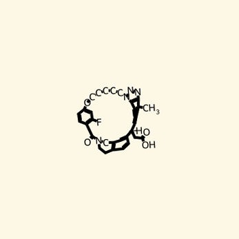 Cc1c2ccc3c1nnn3CCCCCOc1ccc(c(F)c1)C(=O)N1CCc3ccc(cc3C1)[C@@H]2CC(=O)O